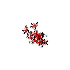 CCO[Si](CC[Si](C)(C)O[Si]12O[SiH](O[SiH](C)C)O[Si]3(O[SiH](C)C)O[Si]4(O[SiH](C)C)O[Si](O[SiH3])(O[SiH](C)C)O[Si](O[Si](C)(C)CC[Si](OCC)(OCC)OCC)(O1)O[Si](O[Si](C)(C)CC[Si](OCC)(OCC)OCC)(O4)O[Si](O[Si](C)(C)CC[Si](OCC)(OCC)OCC)(O3)O2)(OCC)OCC